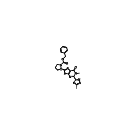 Cc1nnc(-c2nc3sc([C@H]4CCCN4C(=O)OCc4ccccc4)nc3c(=O)n2C)o1